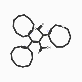 O=C(O)C(=C(/C1=C/CCCCCCCC1)/C1=C/CCCCCCCC1)C(C(=O)O)/C1=C/CCCCCCCC1